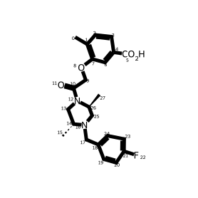 Cc1ccc(C(=O)O)cc1OCC(=O)N1C[C@@H](C)N(Cc2ccc(F)cc2)C[C@@H]1C